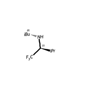 CC[C@@H](C)N[C@@H](C(C)C)C(F)(F)F